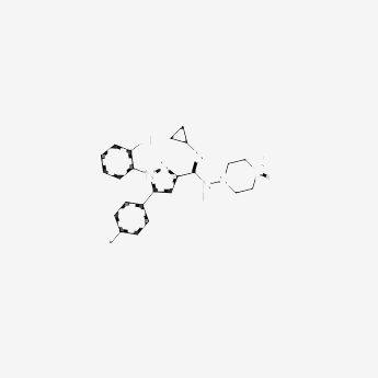 O=S1(=O)CCN(NC(=NC2CC2)c2cc(-c3ccc(Cl)cc3)n(-c3ccccc3Cl)n2)CC1